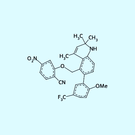 COc1ccc(C(F)(F)F)cc1-c1ccc2c(c1COc1cc([N+](=O)[O-])ccc1C#N)C(C)=CC(C)(C)N2